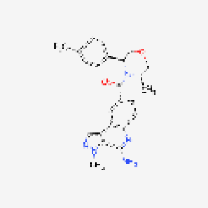 C[C@@H]1COC[C@H](c2ccc(C(F)(F)F)cc2)N1C(=O)c1ccc2nc(N)c3c(cnn3C)c2c1